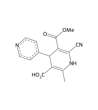 COC(=O)C1=C(C#N)NC(C)=C(C(=O)O)C1c1ccncc1